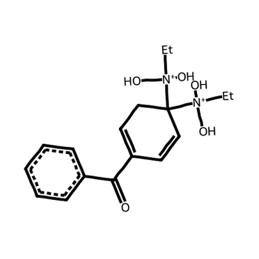 CC[N+](O)(O)C1([N+](O)(O)CC)C=CC(C(=O)c2ccccc2)=CC1